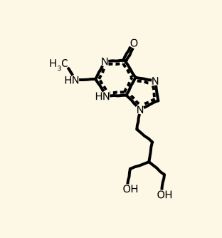 CNc1nc(=O)c2ncn(CCC(CO)CO)c2[nH]1